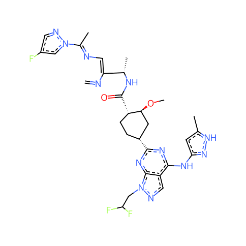 C=N/C(=C\N=C(/C)n1cc(F)cn1)[C@H](C)NC(=O)[C@H]1CC[C@@H](c2nc(Nc3cc(C)[nH]n3)c3cnn(CC(F)F)c3n2)C[C@@H]1OC